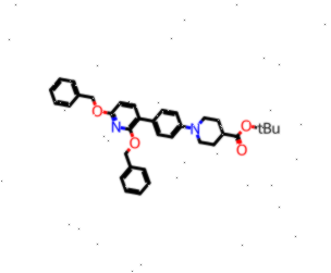 CC(C)(C)OC(=O)C1CCN(c2ccc(-c3ccc(OCc4ccccc4)nc3OCc3ccccc3)cc2)CC1